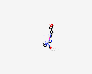 CNC(=O)CCn1c([C@@H]2CCCN(C(=O)C[C@H](N)Cc3ccc(-c4ccc5c(c4)CCO5)cc3)C2)nc2c(C)cccc21